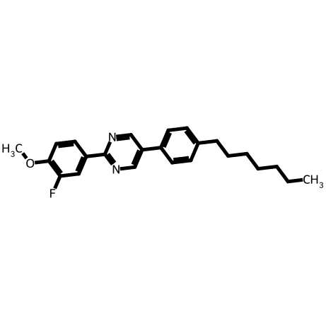 CCCCCCCc1ccc(-c2cnc(-c3ccc(OC)c(F)c3)nc2)cc1